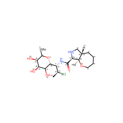 CSC1O[C@H]([C@H](NC(=O)[C@H]2NC[C@@H]3CCCCO[C@H]32)[C@H](C)Cl)C(O)[C@@H](O)[C@H]1O